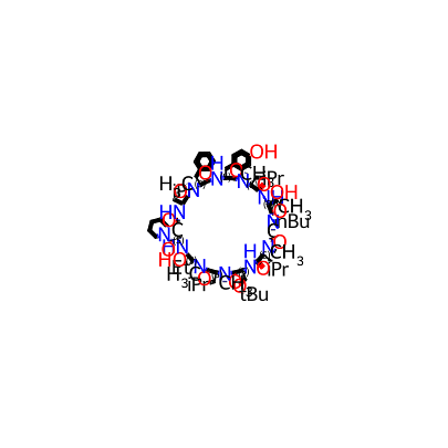 CCCCN1CC(=O)N(C)[C@@H](CC(C)C)C(=O)N[C@@H](COC(C)(C)C)C(=O)N(C)[C@@H](CC(C)C)C(=O)N(C)[C@@H](CC)C(O)N[C@H](C(=O)N2CCCCC2)CC(=O)NC(CC(C)C)C(=O)N(C)[C@@H](Cc2ccccc2)C(=O)N[C@@H](Cc2ccc(O)cc2)C(=O)N(C)[C@@H](CC(C)C)C(=O)N[C@@H]([C@@H](C)O)C1=O